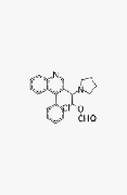 O=COC(Cl)C(c1cnc2ccccc2c1-c1ccccc1)N1CCCC1